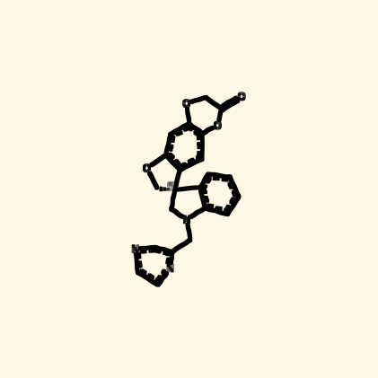 O=C1COc2cc3c(cc2O1)[C@]1(CO3)CN(Cc2cnccn2)c2ccccc21